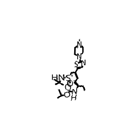 CC/C(=C\C=C(/C[S+]([O-])NC(C)(C)C)c1cnc(N2CCN(C)CC2)s1)NC(=O)OC(C)C